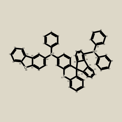 c1ccc(N(c2ccc3c(c2)Sc2ccccc2C32c3ccccc3-c3c(N(c4ccccc4)c4ccccc4)cccc32)c2ccc3oc4ccccc4c3c2)cc1